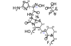 Nc1nc(/C(=N/O)C(=O)N[C@@H]2C(=O)N3C(C(=O)O)=C(/C=C4\CCCN(CC(F)(F)F)C4=O)CS[C@H]23)cs1.O=C(O)C(F)(F)F